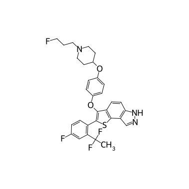 CC(F)(F)c1cc(F)ccc1-c1sc2c(ccc3[nH]ncc32)c1Oc1ccc(OC2CCN(CCCF)CC2)cc1